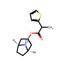 CC(C(=O)O[C@H]1C[C@H]2CC[C@@H](C1)N2C)c1cccs1